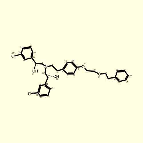 O[C@H](CN(CCc1ccc(OCCOCCc2ccccc2)cc1)C[C@H](O)c1cccc(Cl)c1)c1cccc(Cl)c1